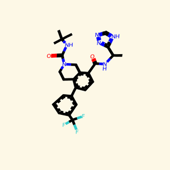 CC(NC(=O)c1ccc(-c2cccc(C(F)(F)F)c2)c2c1CN(C(=O)NC(C)(C)C)CC2)c1nnc[nH]1